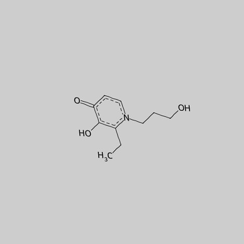 CCc1c(O)c(=O)ccn1CCCO